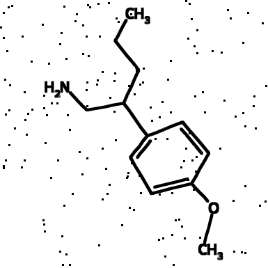 CCCC(CN)c1ccc(OC)cc1